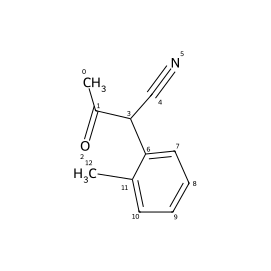 CC(=O)C(C#N)c1ccccc1C